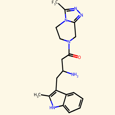 Cc1[nH]c2ccccc2c1CC(N)CC(=O)N1CCn2c(nnc2C(F)(F)F)C1